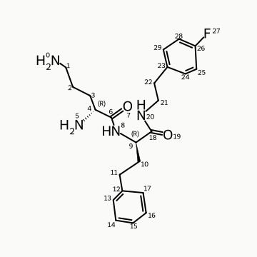 NCCC[C@@H](N)C(=O)N[C@H](CCc1ccccc1)C(=O)NCCc1ccc(F)cc1